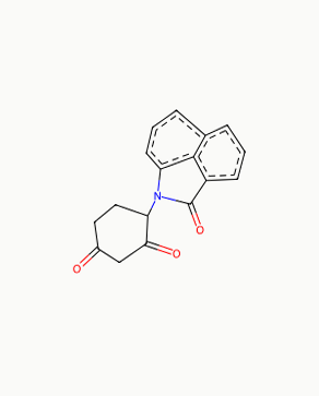 O=C1CCC(N2C(=O)c3cccc4cccc2c34)C(=O)C1